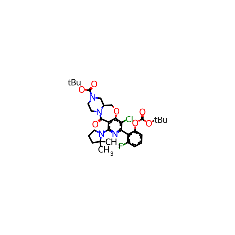 CC(C)(C)OC(=O)Oc1cccc(F)c1-c1nc(N2CCCC2(C)C)c2c(c1Cl)OCC1CN(C(=O)OC(C)(C)C)CCN1C2=O